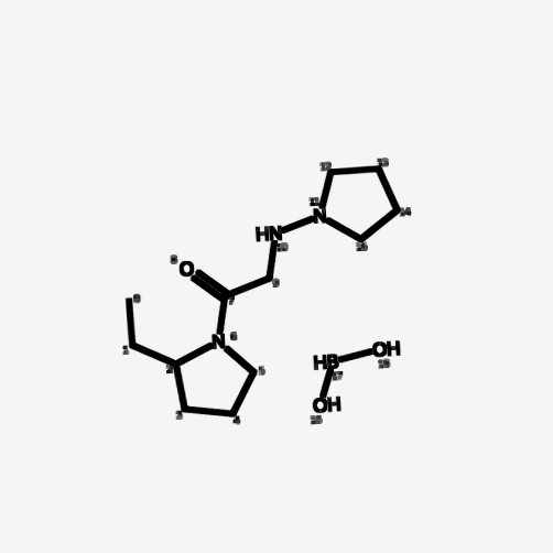 CCC1CCCN1C(=O)CNN1CCCC1.OBO